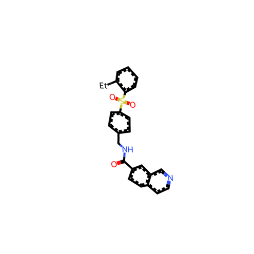 CCc1ccccc1S(=O)(=O)c1ccc(CNC(=O)c2ccc3ccncc3c2)cc1